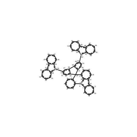 c1ccc2c(c1)-n1c3ccccc3c3cccc(c31)C21c2ccc(-n3c4ccccc4c4ccccc43)cc2-c2cc(-n3c4ccccc4c4ccccc43)ccc21